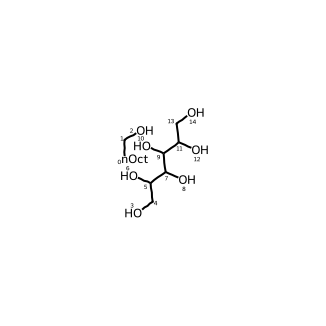 CCCCCCCCCO.OCC(O)C(O)C(O)C(O)CO